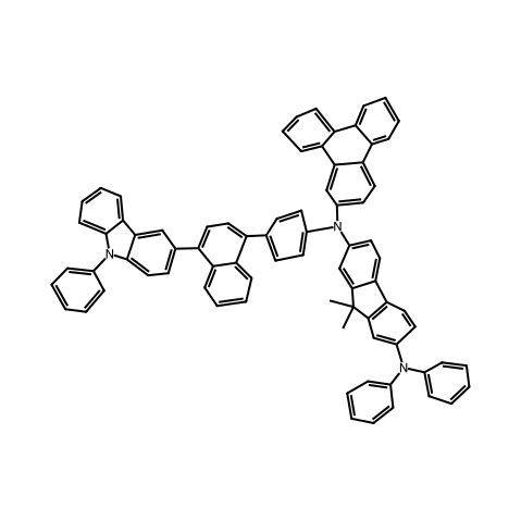 CC1(C)c2cc(N(c3ccccc3)c3ccccc3)ccc2-c2ccc(N(c3ccc(-c4ccc(-c5ccc6c(c5)c5ccccc5n6-c5ccccc5)c5ccccc45)cc3)c3ccc4c5ccccc5c5ccccc5c4c3)cc21